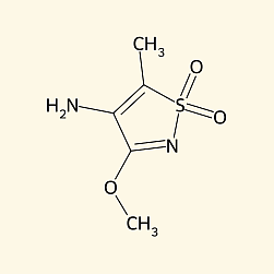 COC1=NS(=O)(=O)C(C)=C1N